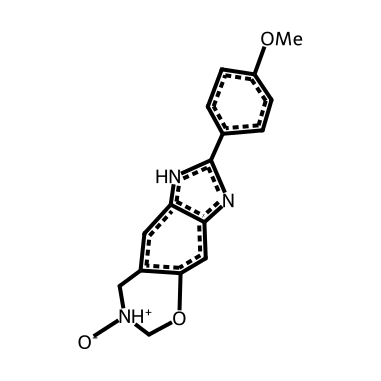 COc1ccc(-c2nc3cc4c(cc3[nH]2)C[NH+]([O-])CO4)cc1